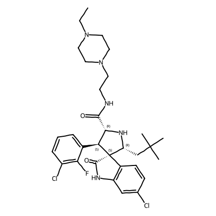 CCN1CCN(CCNC(=O)[C@@H]2N[C@H](CC(C)(C)C)[C@]3(C(=O)Nc4cc(Cl)ccc43)[C@H]2c2cccc(Cl)c2F)CC1